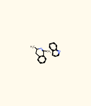 CC1=NC(C)Cc2ccccc21.c1ccc2ncccc2c1